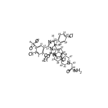 CCOc1cc(Cl)c(S(C)(=O)=O)cc1C1=N[C@@](C)(c2ccc(Cl)cc2)[C@@](C)(c2ccc(Cl)cc2)N1C(=O)N1CCC2(CCN(CC(N)=O)CC2)CC1